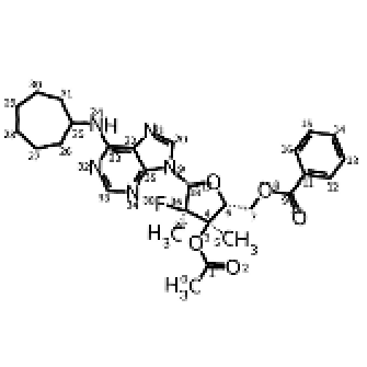 CC(=O)O[C@]1(C)[C@@H](COC(=O)c2ccccc2)O[C@H](n2cnc3c(NC4CCCCCC4)ncnc32)[C@]1(C)F